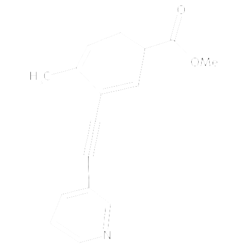 COC(=O)C1C=C(C#Cc2cccnc2)C(C)=CC1